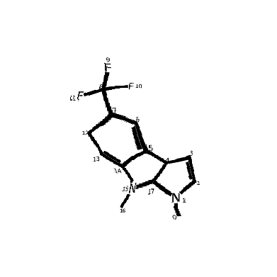 CN1C=CC2C3=CC(C(F)(F)F)CC=C3N(C)C21